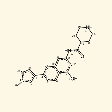 Cn1cc(-c2ccc3c(O)nc(NC(=O)C4CCNCC4)cc3c2)cn1